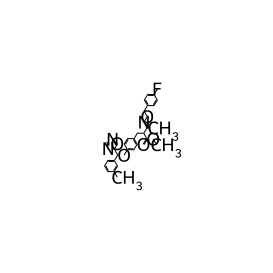 COC(=O)C(Cc1ccc(OC(c2cccc(C)c2)c2ncno2)cc1)C(C)=NOCc1ccc(F)cc1